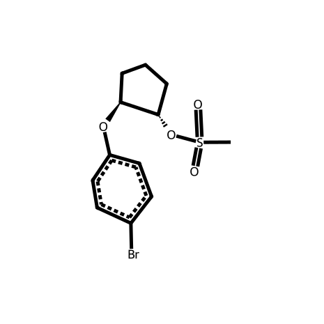 CS(=O)(=O)O[C@H]1CCC[C@@H]1Oc1ccc(Br)cc1